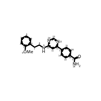 COc1ccccc1CCNc1cc(-c2ccc(C(N)=O)cc2)ncn1